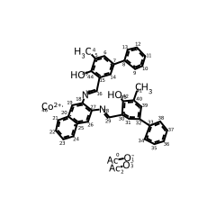 CC(=O)[O-].CC(=O)[O-].Cc1cc(-c2ccccc2)cc(C=Nc2cc3ccccc3cc2N=Cc2cc(-c3ccccc3)cc(C)c2O)c1O.[Co+2]